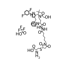 CC(C)(C)[C@H](c1nn(-c2cc(F)ccc2F)cc1Cc1ccccc1)N(CC[C@H](N)C(=O)NNC(=O)CCCCCN1C(=O)CC(SC[C@H](N)C(=O)O)C1=O)C(=O)CO.O=C(O)C(F)(F)F